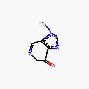 CC(C)n1cnc2c1C=NCC2=O